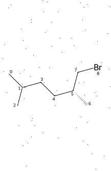 C[C](C)CC[C@@H](C)CBr